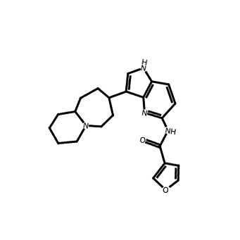 O=C(Nc1ccc2[nH]cc(C3CCC4CCCCN4CC3)c2n1)c1ccoc1